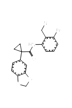 NCc1c(Br)cccc1NC(=O)C1(c2ccc3c(c2)OCO3)CC1